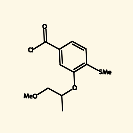 COCC(C)Oc1cc(C(=O)Cl)ccc1SC